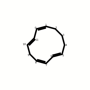 [C]1=C\CCC/C=C/C=C\C/C=C/1